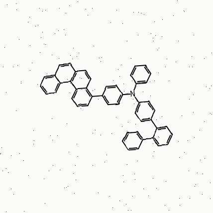 c1ccc(-c2ccccc2-c2ccc(N(c3ccccc3)c3ccc(-c4cccc5c4ccc4ccc6ccccc6c45)cc3)cc2)cc1